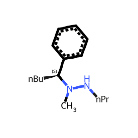 CCCC[C@@H](c1ccccc1)N(C)NCCC